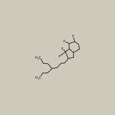 CCCC(CCC)CCCC1CC2CCC(F)C(F)C2C1(F)F